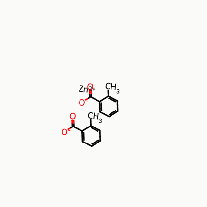 Cc1ccccc1C(=O)[O-].Cc1ccccc1C(=O)[O-].[Zn+2]